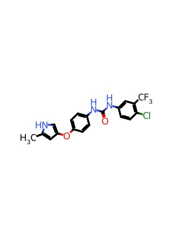 Cc1cc(Oc2ccc(NC(=O)Nc3ccc(Cl)c(C(F)(F)F)c3)cc2)c[nH]1